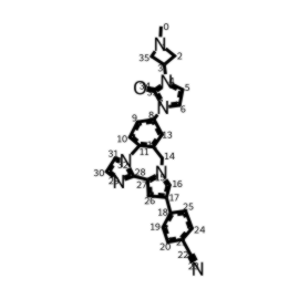 CN1CC(n2ccn(-c3ccc4c(c3)Cn3cc(-c5ccc(C#N)cc5)cc3-c3nccn3-4)c2=O)C1